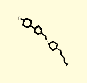 FCCC=C[C@H]1CC[C@H](CCc2ccc(-c3ccc(F)cc3)cc2)CC1